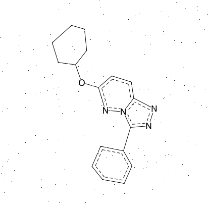 c1ccc(-c2nnc3ccc(OC4CCCCC4)nn23)cc1